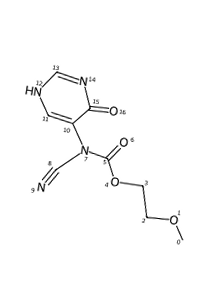 COCCOC(=O)N(C#N)c1c[nH]cnc1=O